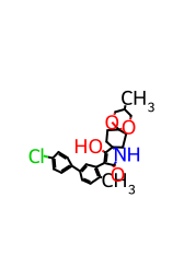 Cc1ccc(-c2ccc(Cl)cc2)cc1C1=C(O)C2(CCC3(CC2)OCC(C)CO3)NC1=O